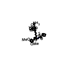 COc1cc(OC)cc(-c2cc(CCCCCOC(=O)[C@H](CC(N)=O)NC(=O)OC(C)(C)C)c(/C=C3\SC(=S)N(C4CC5CCC4C5)C3=O)o2)c1